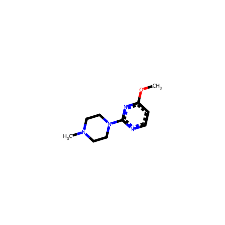 COc1ccnc(N2CCN(C)CC2)n1